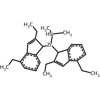 CCC1=Cc2c(CC)cccc2[CH]1[Zr]([CH]1C(CC)=Cc2c(CC)cccc21)[SiH](C)C